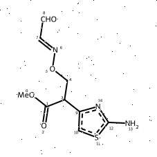 COC(=O)C(CON=C[C]=O)c1csc(N)n1